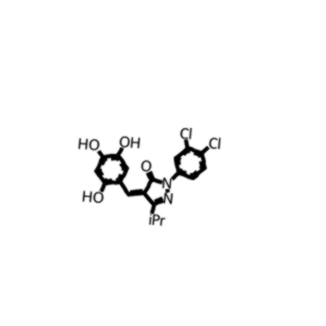 CC(C)C1=NN(c2ccc(Cl)c(Cl)c2)C(=O)C1=Cc1cc(O)c(O)cc1O